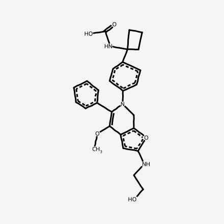 COC1=C(c2ccccc2)N(c2ccc(C3(NC(=O)O)CCC3)cc2)Cc2oc(NCCO)cc21